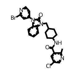 Cc1ncc(Cl)cc1C(=O)NC1CCC(Cn2c(=O)n(-c3ccnc(Br)c3)c3ccccc32)CC1